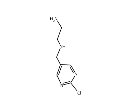 NCCNCc1cnc(Cl)nc1